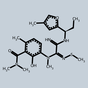 CC[C@@H](NC(=N)/C(=N\SC)N(C)c1ccc(C)c(C(=O)N(C)C)c1O)c1cc(C)co1